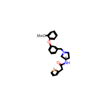 COc1ccccc1Oc1cccc(CN2CC[C@@H](NC(=O)Cc3cccs3)C2)c1